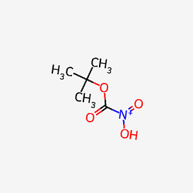 CC(C)(C)OC(=O)[N+](=O)O